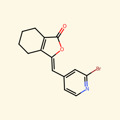 O=C1OC(=Cc2ccnc(Br)c2)C2=C1CCCC2